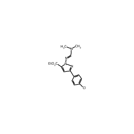 CCOC(=O)c1cc(-c2ccc(Cl)cc2)nn1/N=C/N(C)C